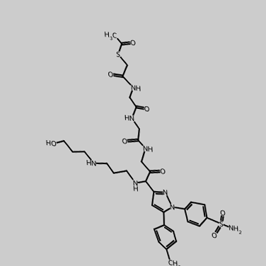 CC(=O)SCC(=O)NCC(=O)NCC(=O)NCC(=O)C(NCCCNCCCO)c1cc(-c2ccc(C)cc2)n(-c2ccc(S(N)(=O)=O)cc2)n1